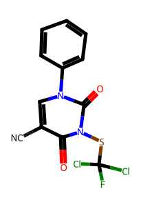 N#Cc1cn(-c2ccccc2)c(=O)n(SC(F)(Cl)Cl)c1=O